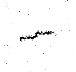 C/C=C\CNCCC=C=C/C=C\CSCCCN